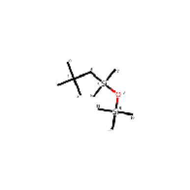 CC(C)(C)C[Si](C)(C)O[Si](C)(C)C